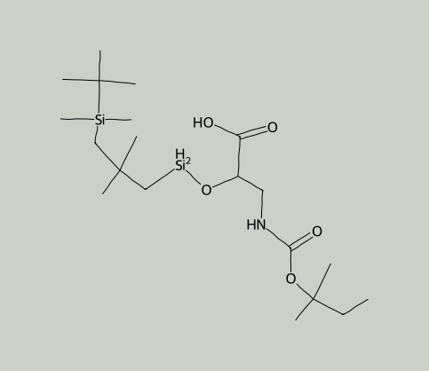 CCC(C)(C)OC(=O)NCC(O[SiH2]CC(C)(C)C[Si](C)(C)C(C)(C)C)C(=O)O